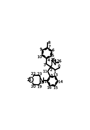 CCC(Cc1ccc(C)cc1)(Cc1ccccc1N1CCOCC1)N(C)C